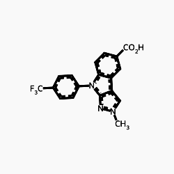 Cn1cc2c3cc(C(=O)O)ccc3n(-c3ccc(C(F)(F)F)cc3)c2n1